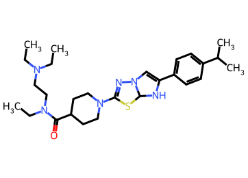 CCN(CC)CCN(CC)C(=O)C1CCN(C2=NN3C=C(c4ccc(C(C)C)cc4)NC3S2)CC1